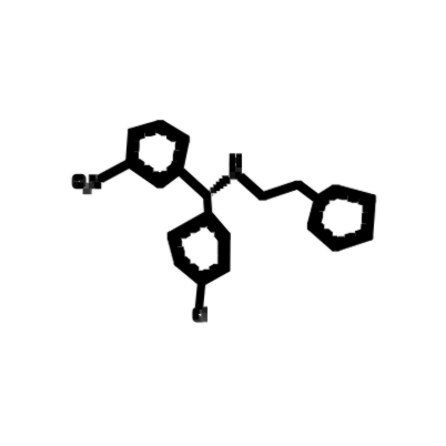 O=[N+]([O-])c1cccc([C@H](NCCc2ccccc2)c2ccc(Cl)cc2)c1